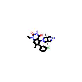 CCn1c(=O)[nH]c(=O)c2c(N3C[C@H]4CNC[C@H]4C3)c(-c3cccc(Cl)c3)c(C)cc21